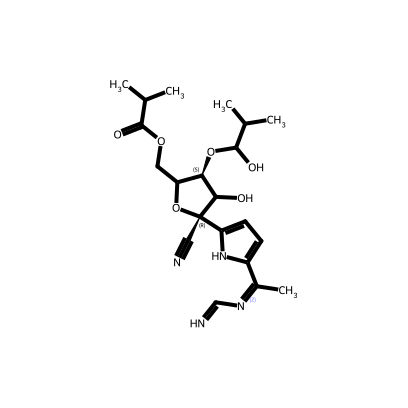 C/C(=N/C=N)c1ccc([C@]2(C#N)OC(COC(=O)C(C)C)[C@@H](OC(O)C(C)C)C2O)[nH]1